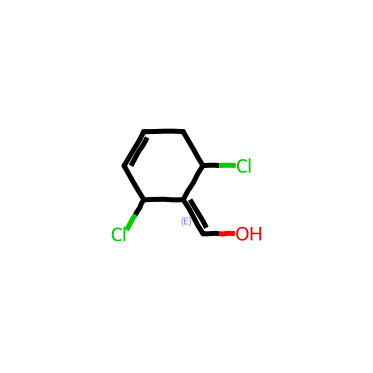 O/C=C1/C(Cl)C=CCC1Cl